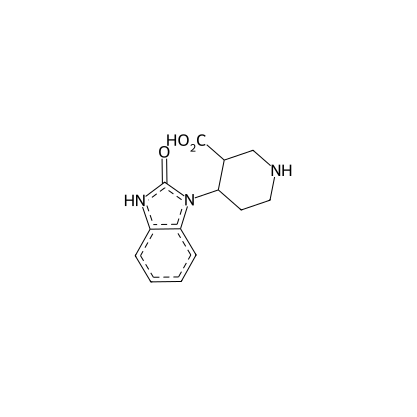 O=C(O)C1CNCCC1n1c(=O)[nH]c2ccccc21